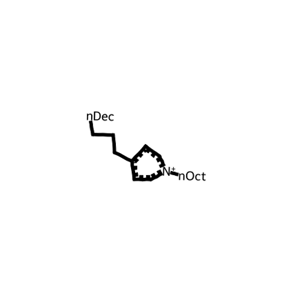 CCCCCCCCCCCCCc1cc[n+](CCCCCCCC)cc1